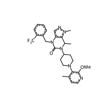 COc1nccc(C)c1N1CCC(N2C(=O)N(Cc3ccccc3C(F)(F)F)c3cnn(C)c3C2C)CC1